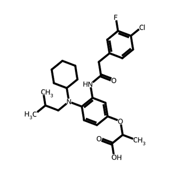 CC(C)CN(c1ccc(OC(C)C(=O)O)cc1NC(=O)Cc1ccc(Cl)c(F)c1)C1CCCCC1